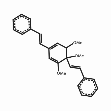 COC1=CC(C=Cc2ccccc2)=CC(OC)C1(C=Cc1ccccc1)OC